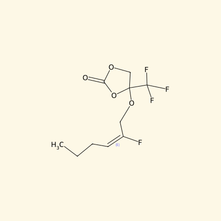 CCC/C=C(/F)COC1(C(F)(F)F)COC(=O)O1